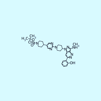 CNc1nn(C2CCN(c3ncc(C4CCN(C(=O)OC(C)(C)C)CC4)cn3)CC2)c2cc(-c3ccccc3O)nnc12